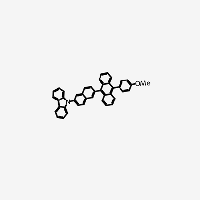 COc1ccc(-c2c3ccccc3c(-c3ccc4cc(-n5c6ccccc6c6ccccc65)ccc4c3)c3ccccc23)cc1